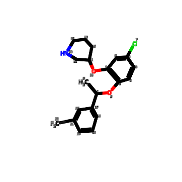 CC(Oc1ccc(Cl)cc1OC1CCCNC1)c1cccc(C(F)(F)F)c1